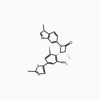 Cc1ncc(-c2cc(P)c([C@H]3[C@@H](C)C(=O)N3c3ccc4c(c3)ncn4C)c(I)c2)s1